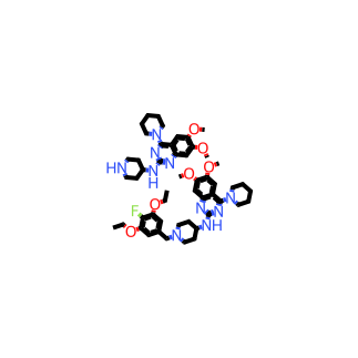 CCOc1cc(CN2CCC(Nc3nc(N4CCCCC4)c4cc(OC)c(OC)cc4n3)CC2)cc(OCC)c1F.COc1cc2nc(NC3CCNCC3)nc(N3CCCCC3)c2cc1OC